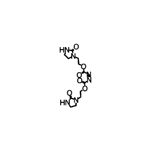 O=C(/N=N\C(=O)OCCN1CCNC1=O)OCCN1CCNC1=O